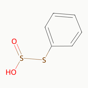 O=S(O)Sc1ccccc1